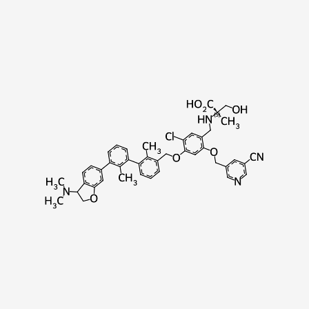 Cc1c(COc2cc(OCc3cncc(C#N)c3)c(CN[C@@](C)(CO)C(=O)O)cc2Cl)cccc1-c1cccc(-c2ccc3c(c2)OCC3N(C)C)c1C